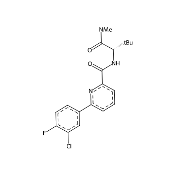 CNC(=O)[C@@H](NC(=O)c1cccc(-c2ccc(F)c(Cl)c2)n1)C(C)(C)C